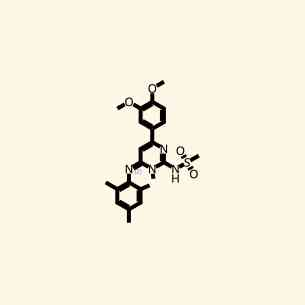 COc1ccc(-c2c/c(=N/c3c(C)cc(C)cc3C)n(C)c(NS(C)(=O)=O)n2)cc1OC